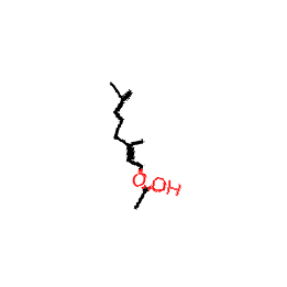 CC(C)=CCC/C(C)=C/COC(C)O